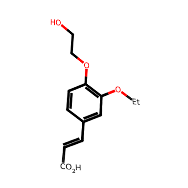 CCOc1cc(C=CC(=O)O)ccc1OCCO